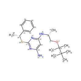 C[C@H](CO[Si](C)(C)C(C)(C)C)Nc1cc(N)nc(S[C@H](C)c2ccccc2)n1